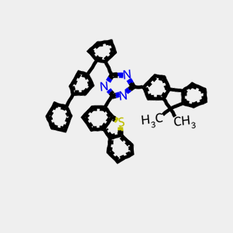 CC1(C)c2ccccc2-c2ccc(-c3nc(-c4ccccc4-c4ccc(-c5ccccc5)cc4)nc(-c4cccc5c4sc4ccccc45)n3)cc21